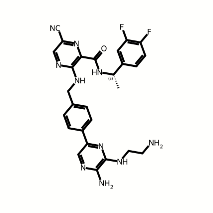 C[C@H](NC(=O)c1nc(C#N)cnc1NCc1ccc(-c2cnc(N)c(NCCN)n2)cc1)c1ccc(F)c(F)c1